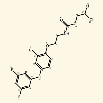 O=C(NCCOc1ccc(Oc2cc(F)cc(F)c2)cc1Cl)OCC(Cl)Cl